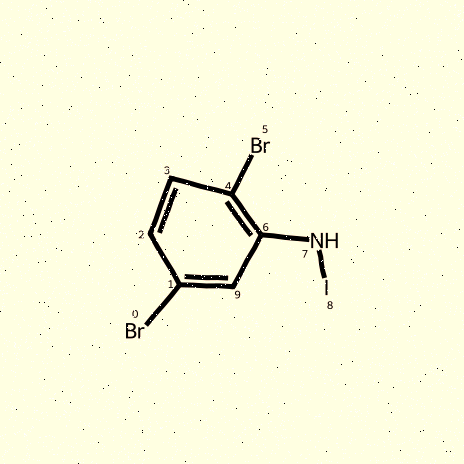 Brc1ccc(Br)c(NI)c1